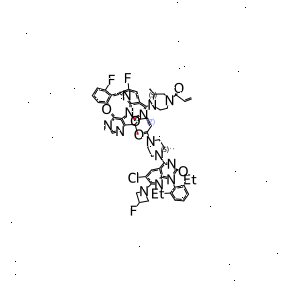 C=CC(=O)N1CCN(c2nc(=O)n3c4nc(c(F)cc24)c2c(F)cccc2oc2ncnc(C(C)C/C=C\C(=O)N4CCN(c5nc(=O)n(-c6c(CC)cccc6CC)c6nc(N7CC(F)C7)c(Cl)cc56)[C@@H](C)C4)c23)[C@@H](C)C1